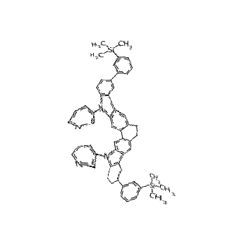 C[Si](C)(C)c1cccc(C2=Cc3c(n(-c4cccnc4)c4cc5c(cc34)CCc3cc4c6cc(-c7cccc([Si](C)(C)C)c7)ccc6n(-c6cccnc6)c4cc3-5)CC2)c1